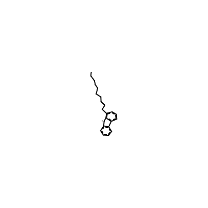 CCCCCCCCCCc1cccc2c1[C]c1ccccc1-2